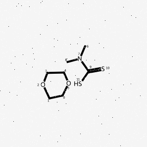 C1COCCO1.CN(C)C(=S)S